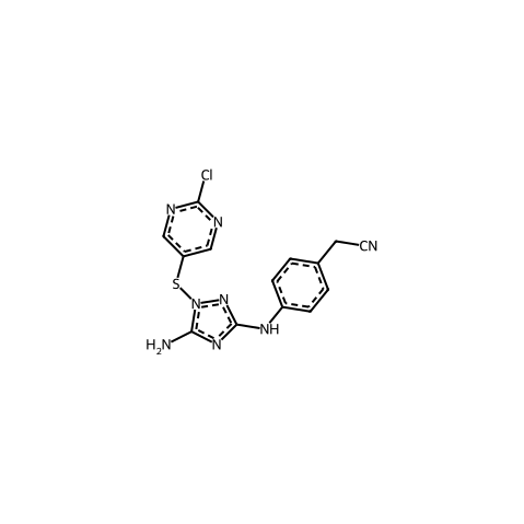 N#CCc1ccc(Nc2nc(N)n(Sc3cnc(Cl)nc3)n2)cc1